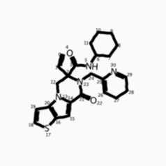 C=CC1(C(=O)NC2CCCCC2)Cn2c(cc3sccc32)C(=O)N1CC1=CCCC=N1